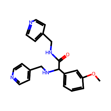 COc1cccc(C(NCc2ccncc2)C(=O)NCc2ccncc2)c1